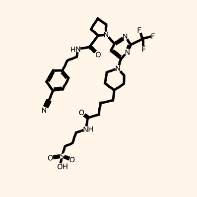 N#Cc1ccc(CCNC(=O)C2CCCN2c2cc(N3CCC(CCCC(=O)NCCCS(=O)(=O)O)CC3)nc(C(F)(F)F)n2)cc1